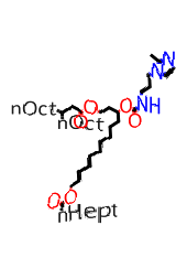 CCCCCCCCC(CCCCCCCC)CC(=O)OCCC(CCCCCCCCCCOC(=O)CCCCCCC)OC(=O)NCCCn1ccnc1C